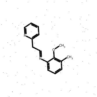 COc1c(C)cccc1N=CCc1ccccn1